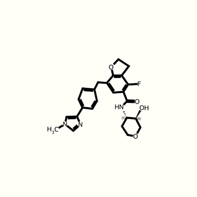 Cn1cnc(-c2ccc(Cc3cc(C(=O)N[C@H]4CCOC[C@@H]4O)c(F)c4c3OCC4)cc2)c1